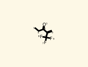 C=C(C(=O)CC)C(F)(F)F